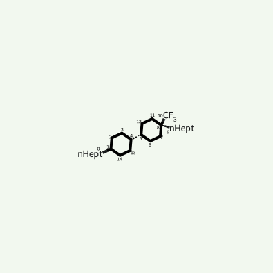 CCCCCCCC1CCC([C@H]2CC[C@@](CCCCCCC)(C(F)(F)F)CC2)CC1